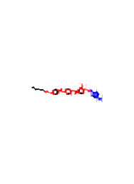 CCCCCCCCOc1ccc(C(=O)Oc2ccc(OC(=O)c3ccc(OCC[n+]4ccc(N(C)C)cc4)c(OC)c3)cc2)cc1